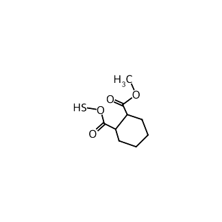 COC(=O)C1CCCCC1C(=O)OS